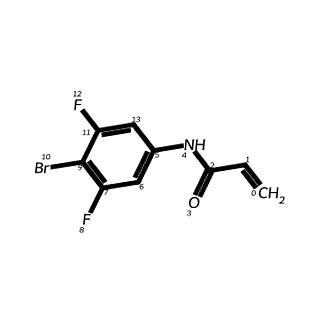 C=CC(=O)Nc1cc(F)c(Br)c(F)c1